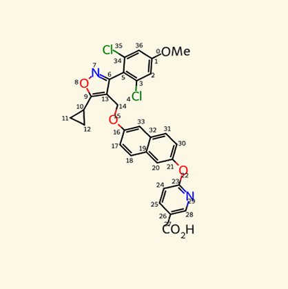 COc1cc(Cl)c(-c2noc(C3CC3)c2COc2ccc3cc(Oc4ccc(C(=O)O)cn4)ccc3c2)c(Cl)c1